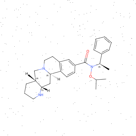 CC(C)ON(C(=O)c1ccc2c(c1)CCN1C[C@H]3CCCN[C@H]3C[C@H]21)[C@H](C)c1ccccc1